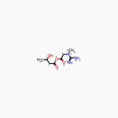 CC(O)CC(=O)OC(=O)CN(C)C(=N)N